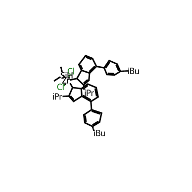 CCC(C)c1ccc(-c2cccc3c2C=C(C(C)C)[CH]3[Zr]([Cl])([Cl])([CH]2C(C(C)C)=Cc3c(-c4ccc(C(C)CC)cc4)cccc32)[SiH](C)C)cc1